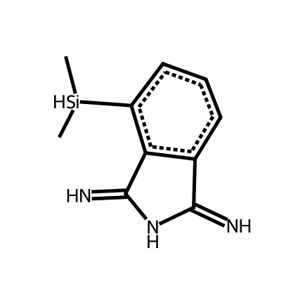 C[SiH](C)c1cccc2c1C(=N)NC2=N